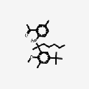 CCCCCC(C)(Pc1ccc(C)cc1C(C)=O)c1cc(C(C)(C)C)cc(C)c1OC